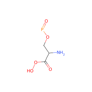 NC(COP=O)C(=O)OO